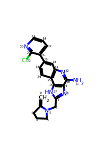 C=C1CCCN1Cc1nc2c(N)nc3cc(-c4cccnc4Cl)ccc3c2[nH]1